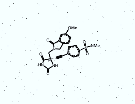 CNS(=O)(=O)c1ccc(C#C[C@]2(CN3Cc4ccc(OC)cc4C3=O)NC(=O)NC2=O)cc1